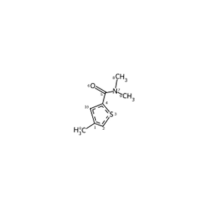 Cc1csc(C(=O)N(C)C)c1